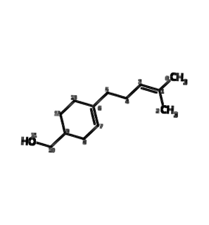 CC(C)=CCCC1=CCC(CO)CC1